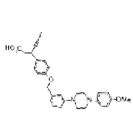 CC#CC(CC(=O)O)c1ccc(OCc2cccc(N3CCN(c4ccc(OC)cc4)CC3)c2)cc1